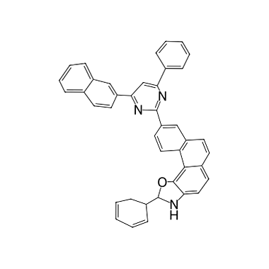 C1=CCC(C2Nc3ccc4ccc5cc(-c6nc(-c7ccccc7)cc(-c7ccc8ccccc8c7)n6)ccc5c4c3O2)C=C1